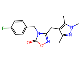 Cc1nn(C)c(C)c1Cc1noc(=O)n1Cc1ccc(F)cc1